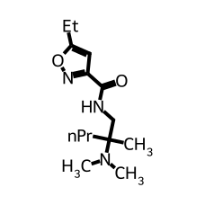 CCCC(C)(CNC(=O)c1cc(CC)on1)N(C)C